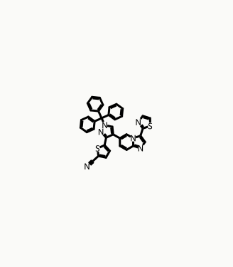 N#Cc1ccc(-c2nn(C(c3ccccc3)(c3ccccc3)c3ccccc3)cc2-c2ccc3ncc(-c4nccs4)n3c2)s1